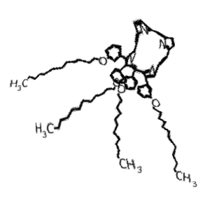 CCCCCCCCCCCCOc1cccc(C2=CC3=CC4=NC(=CC5=NC(=CC6=NC(=C(c7cccc(OCCCCCCCCCCCC)c7)C2=N3)C(c2cccc(OCCCCCCCCCCCC)c2)=C6c2cccc(OCCCCCCCCCCCC)c2)C=C5)C=C4)c1